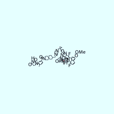 COCOc1cc(-c2ncc3c(N4CCCOCC4)nc(OCC4(CN5CCN(CC6CCC7(CC6)CCN(C(=O)c6ccc(C)c(N8CCC(=O)NC8=O)c6)CC7)CC5)CC4)nc3c2F)c2c(C#C[Si](C(C)C)(C(C)C)C(C)C)c(F)ccc2c1